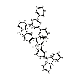 c1ccc(-c2nc(-c3ccccc3)nc(-c3cccc4sc5ccc(-c6cccc7c6sc6ccc(-n8c9ccccc9c9ccccc98)cc67)cc5c34)n2)cc1